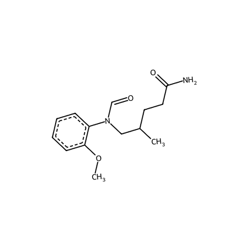 COc1ccccc1N(C=O)CC(C)CCC(N)=O